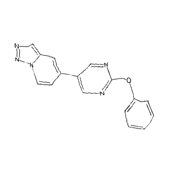 c1ccc(Oc2ncc(-c3ccn4nncc4c3)cn2)cc1